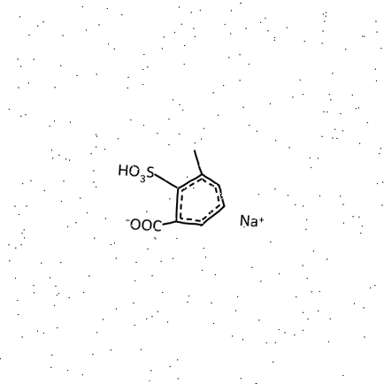 Cc1cccc(C(=O)[O-])c1S(=O)(=O)O.[Na+]